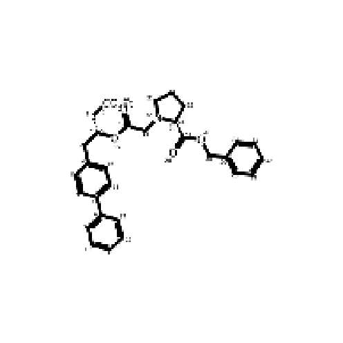 CCOC(=O)C[C@@H](Cc1ccc(-c2ccccc2)cc1)OC(=O)CN1CCC[C@H]1C(=O)OCc1ccccc1